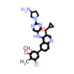 COc1cc(-c2ccc3ncc(C(=O)C4CC4)c(Nc4cnc(N5CCC(N)C5)nc4)c3c2)cc(Cl)c1C